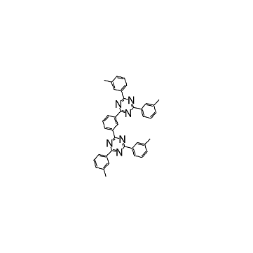 Cc1cccc(-c2nc(-c3cccc(C)c3)nc(-c3cccc(-c4nc(-c5cccc(C)c5)nc(-c5cccc(C)c5)n4)c3)n2)c1